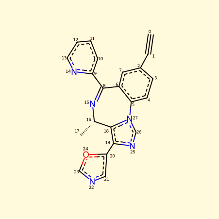 C#Cc1ccc2c(c1)C(c1ccccn1)=N[C@@H](C)c1c(-c3cnco3)ncn1-2